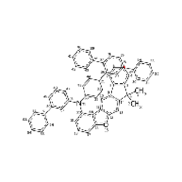 CC1(C)c2ccccc2-c2cc3c(cc21)oc1cccc(N(C2=CCC(c4cc(-c5ccccc5)ccc4-c4ccccc4)C=C2)c2cccc(-c4ccccc4)c2)c13